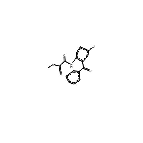 COC(=O)C(=O)Nc1ccc(Cl)cc1C(=O)c1ccccc1